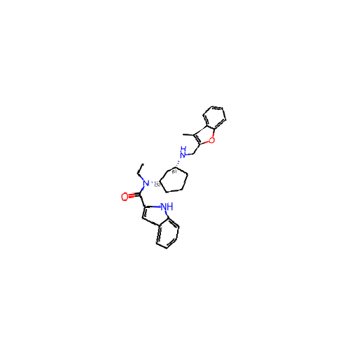 CCN(C(=O)c1cc2ccccc2[nH]1)[C@H]1CCC[C@@H](NCc2oc3ccccc3c2C)C1